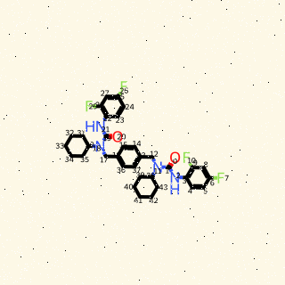 O=C(Nc1ccc(F)cc1F)N(Cc1ccc(CN(C(=O)Nc2ccc(F)cc2F)C2CCCCC2)cc1)C1CCCCC1